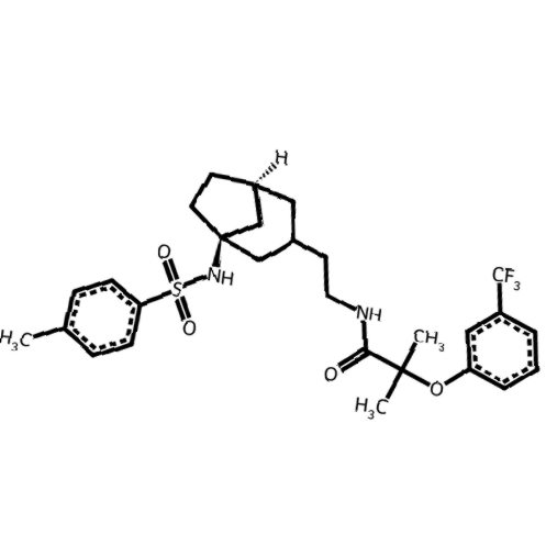 Cc1ccc(S(=O)(=O)N[C@]23CC[C@@H](CC(CCNC(=O)C(C)(C)Oc4cccc(C(F)(F)F)c4)C2)C3)cc1